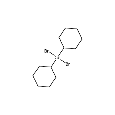 [Br][Ge]([Br])([CH]1CCCCC1)[CH]1CCCCC1